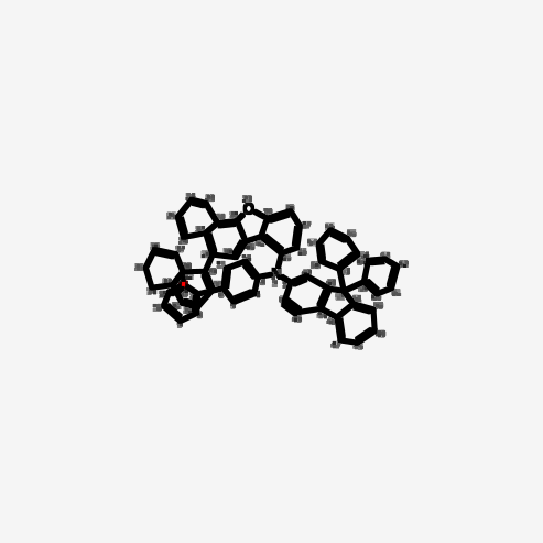 c1c(N(c2ccc(-c3ccccc3)cc2)c2cccc3oc4c5ccccc5c(C5=CC=CC6CCC=C[C@H]56)cc4c23)cc2c(c#1)-c1ccccc1C2(c1ccccc1)c1ccccc1